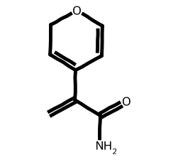 C=C(C(N)=O)C1=CCOC=C1